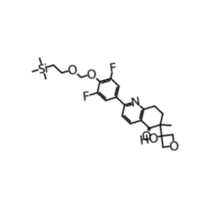 CC1(C2(O)COC2)CCc2nc(-c3cc(F)c(OCOCC[Si](C)(C)C)c(F)c3)ccc2C1=O